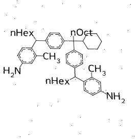 CCCCCCCCC(c1ccc(C(CCCCCC)c2ccc(N)cc2C)cc1)(c1ccc(C(CCCCCC)c2ccc(N)cc2C)cc1)C1CCCCC1